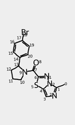 Cc1ncc2sc(C(=O)N3CCCC3c3ccc(Br)cc3)nn12